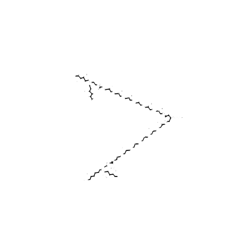 CN[C@H](CC(=O)NCC(O)COCC(O)COCC(O)COCC(O)COCC(O)COCC(O)COC(=O)NCCN(C[C@H](O)[C@@H](O)[C@H](O)[C@H](O)CO)C[C@H](O)[C@@H](O)[C@H](O)[C@H](O)CO)C(=O)NCC(O)COCC(O)COCC(O)COCC(O)COCC(O)COCC(O)COC(=O)NCCN(C[C@H](O)[C@@H](O)[C@H](O)[C@H](O)CO)C[C@H](O)[C@@H](O)[C@H](O)[C@H](O)CO